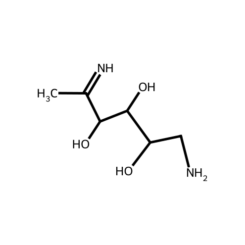 CC(=N)C(O)C(O)C(O)CN